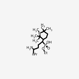 CCCC(N)CCC(C1CCC(C)(C)N(C)C1(C)C)P(=O)(O)OCC